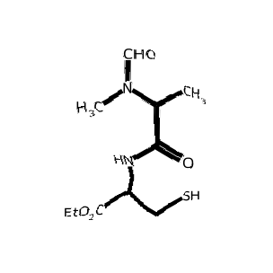 CCOC(=O)C(CS)NC(=O)C(C)N(C)C=O